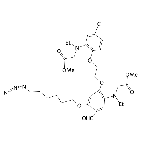 CCN(CC(=O)OC)c1cc(Cl)ccc1OCCOc1cc(OCCCCCCN=[N+]=[N-])c(C=O)cc1N(CC)CC(=O)OC